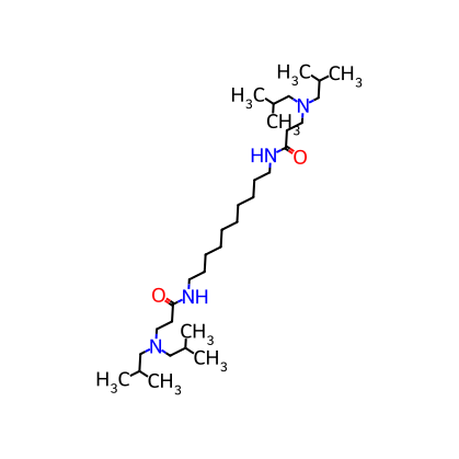 CC(C)CN(CCC(=O)NCCCCCCCCCCNC(=O)CCN(CC(C)C)CC(C)C)CC(C)C